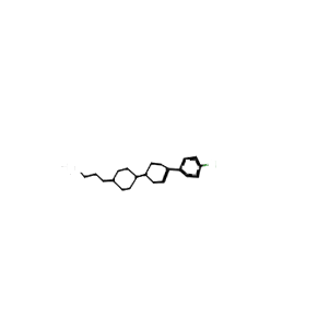 CCCCC1CCC(C2CC=C(c3ccc(Cl)cc3)CC2)CC1